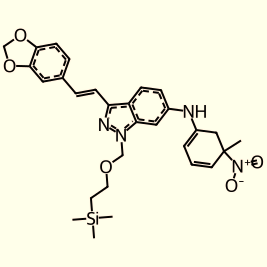 CC1([N+](=O)[O-])C=CC=C(Nc2ccc3c(C=Cc4ccc5c(c4)OCO5)nn(COCC[Si](C)(C)C)c3c2)C1